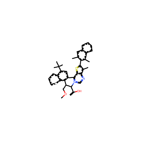 C=C(O)C1C(COC)c2c(cc(C(C)(C)C)c3ccccc23)-c2c3sc(-c4c(C)cc5ccccc5c4C)c(C)c3nc[n+]21